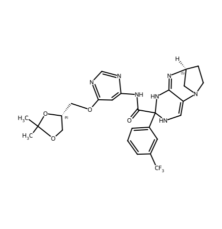 CC1(C)OC[C@@H](COc2cc(NC(=O)C3(c4cccc(C(F)(F)F)c4)NC=C4C(=N[C@H]5CCN4C5)N3)ncn2)O1